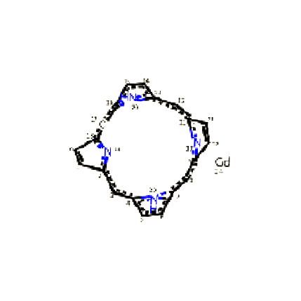 C1=Cc2cc3ccc(cc4nc(cc5ccc(cc1n2)[nH]5)C=C4)[nH]3.[Gd]